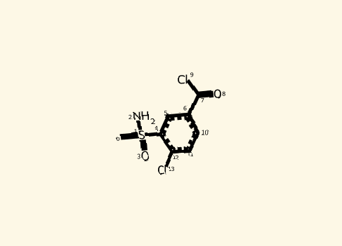 C=S(N)(=O)c1cc(C(=O)Cl)ccc1Cl